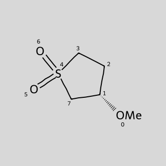 CO[C@H]1CCS(=O)(=O)C1